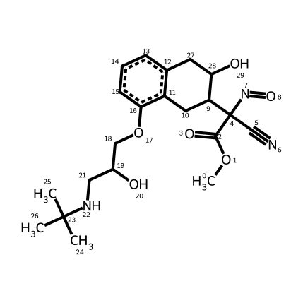 COC(=O)C(C#N)(N=O)C1Cc2c(cccc2OCC(O)CNC(C)(C)C)CC1O